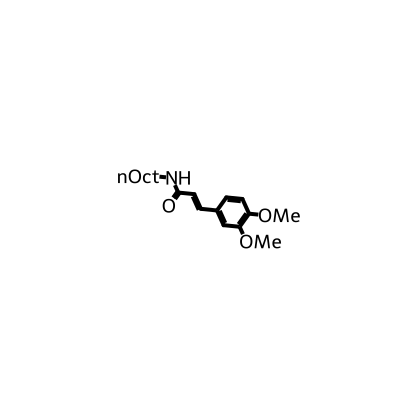 CCCCCCCCNC(=O)C=Cc1ccc(OC)c(OC)c1